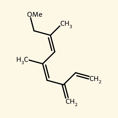 C=CC(=C)/C=C(C)\C=C(\C)COC